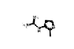 Cc1sccc1NC(=N)N